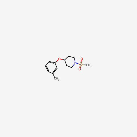 Cc1cccc(OC2CCN(S(C)(=O)=O)CC2)c1